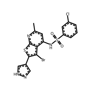 Cc1cc(NS(=O)(=O)c2cccc(Cl)c2)c2c(Br)c(-c3cn[nH]c3)sc2n1